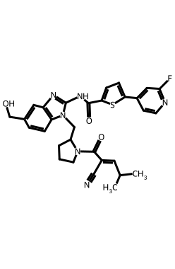 CC(C)C=C(C#N)C(=O)N1CCCC1Cn1c(NC(=O)c2ccc(-c3ccnc(F)c3)s2)nc2cc(CO)ccc21